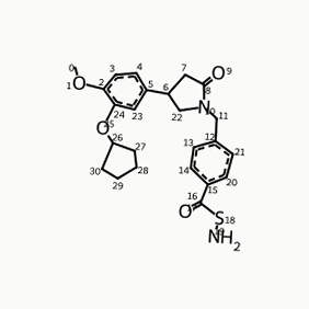 COc1ccc(C2CC(=O)N(Cc3ccc(C(=O)SN)cc3)C2)cc1OC1CCCC1